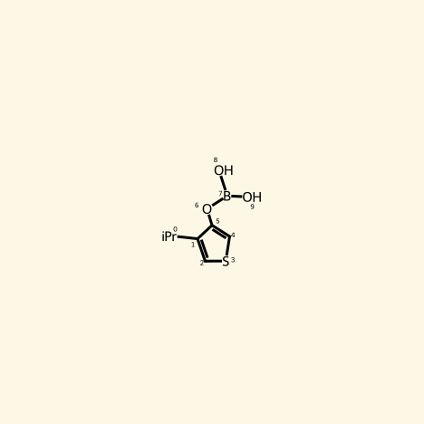 CC(C)c1cscc1OB(O)O